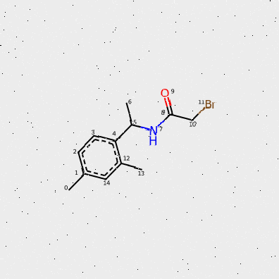 Cc1ccc(C(C)NC(=O)CBr)c(C)c1